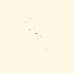 C[C@@H]1[C@H](c2ccccc2)C[C@H](NC(=O)c2cnc3c(c2)C[C@@]2(C3)C(=O)NC3=C2C=CCN3)C(=O)N1CC(F)(F)F